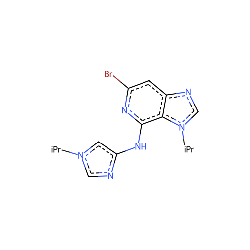 CC(C)n1cnc(Nc2nc(Br)cc3ncn(C(C)C)c23)c1